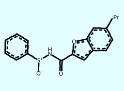 CC(C)c1ccc2cc(C(=O)N[S+]([O-])c3ccccc3)oc2c1